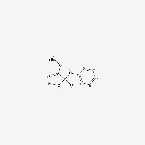 CCCCOC(=O)C(CC)(OCC)Oc1ccccc1